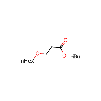 CCCCCCOCCC(=O)OC(C)CC